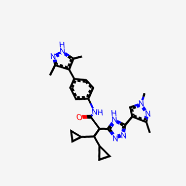 Cc1nn(C)cc1-c1nnc(C(C(=O)Nc2ccc(-c3c(C)n[nH]c3C)cc2)C(C2CC2)C2CC2)[nH]1